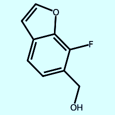 OCc1ccc2ccoc2c1F